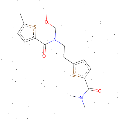 COCN(CCc1ccc(C(=O)N(C)C)s1)C(=O)c1ccc(C)s1